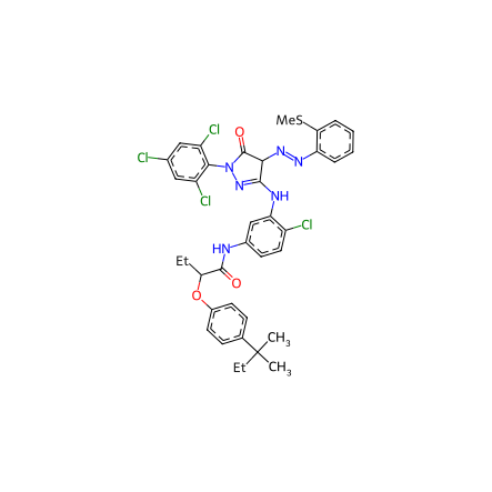 CCC(Oc1ccc(C(C)(C)CC)cc1)C(=O)Nc1ccc(Cl)c(NC2=NN(c3c(Cl)cc(Cl)cc3Cl)C(=O)C2N=Nc2ccccc2SC)c1